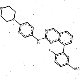 CC(=O)Nc1ccc(F)c(-c2cccc3cnc(Nc4ccc(N5CCNCC5)nc4)nc23)c1